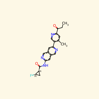 CCC(=O)c1cc(C)c(-c2cc3cnc(NC(=O)[C@H]4C[C@H]4F)cc3cn2)cn1